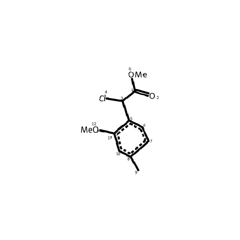 COC(=O)C(Cl)c1ccc(C)cc1OC